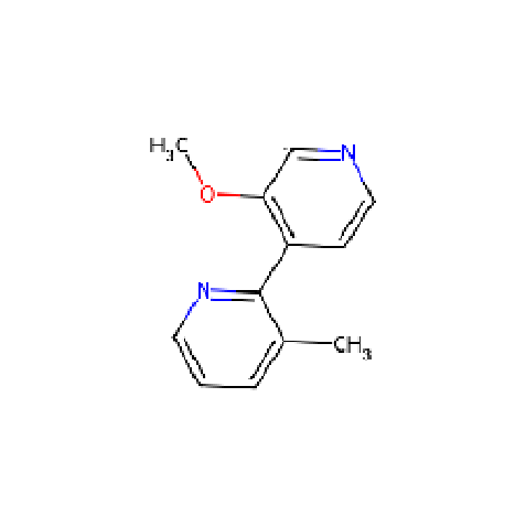 COc1[c]nccc1-c1ncccc1C